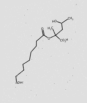 CCCCCCCCCCCCCCCCCC(=O)OC(C)(CC(C)O)C(=O)O